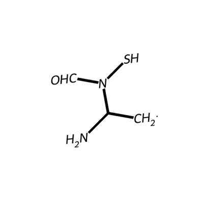 [CH2]C(N)N(S)C=O